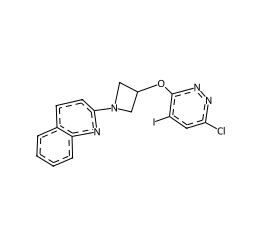 Clc1cc(I)c(OC2CN(c3ccc4ccccc4n3)C2)nn1